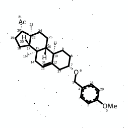 COc1ccc(CO[C@H]2CC[C@@]3(C)C(=CC[C@@]4(I)[C@@H]5CC[C@H](C(C)=O)[C@@]5(C)CC[C@@H]43)C2)cc1